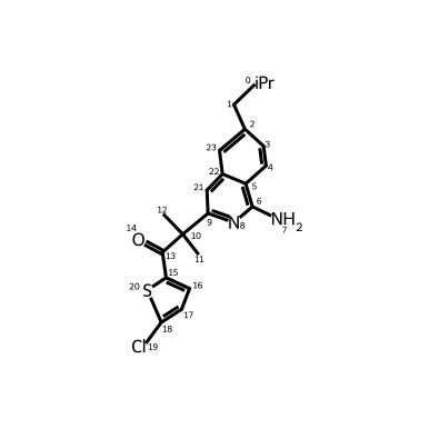 CC(C)Cc1ccc2c(N)nc(C(C)(C)C(=O)c3ccc(Cl)s3)cc2c1